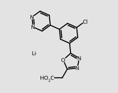 O=C(O)Cc1nnc(-c2cc(Cl)cc(-c3ccnnc3)c2)o1.[Li]